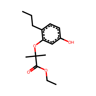 CCCc1ccc(O)cc1OC(C)(C)C(=O)OCC